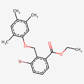 CCOC(=O)c1cccc(Br)c1COc1cc(C)c(C)cc1C